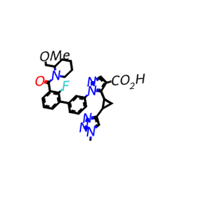 COCC1CCCCN1C(=O)c1cccc(-c2cccc(-n3ncc(C(=O)O)c3C3CC3c3cn(C)nn3)c2)c1F